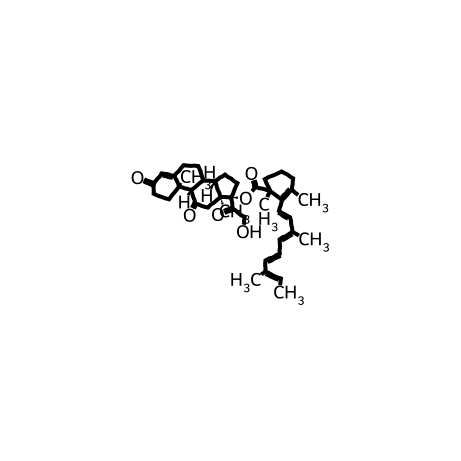 CC=C(C)C=CC=C(C)C=CC1=C(C)CCCC1(C)C(=O)O[C@@]1(C(=O)CO)CC[C@H]2[C@@H]3CCC4=CC(=O)CC[C@]4(C)[C@H]3C(=O)C[C@@]21C